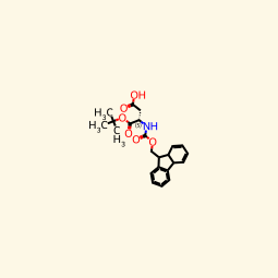 CC(C)(C)OC(=O)[C@H](CC(=O)O)NC(=O)OCC1c2ccccc2C2C=CC=CC21